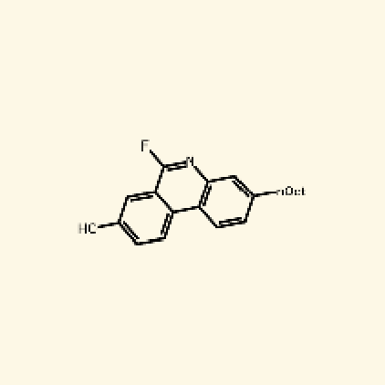 CCCCCCCCc1ccc2c(c1)nc(F)c1cc(O)ccc12